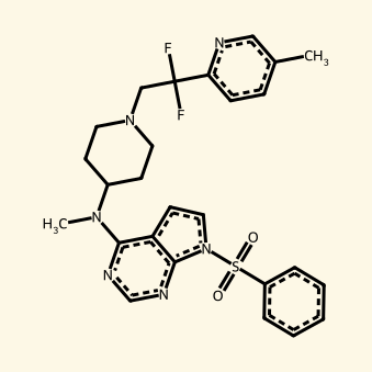 Cc1ccc(C(F)(F)CN2CCC(N(C)c3ncnc4c3ccn4S(=O)(=O)c3ccccc3)CC2)nc1